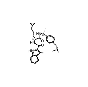 Cc1c(C(=O)N[C@@H](CCCC2CC2)C(=O)N[C@H](C)c2ccc(CN(C)C)cc2)[nH]c2ccccc12